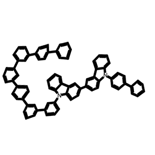 c1ccc(-c2ccc(-c3cccc(-c4cccc(-c5ccc(-c6cccc(-c7cccc(-n8c9ccccc9c9cc(-c%10ccc%11c(c%10)c%10ccccc%10n%11-c%10ccc(-c%11ccccc%11)cc%10)ccc98)c7)c6)cc5)c4)c3)cc2)cc1